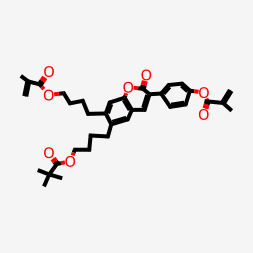 C=C(C)C(=O)OCCCCc1cc2oc(=O)c(-c3ccc(OC(=O)C(=C)C)cc3)cc2cc1CCCCOC(=O)C(C)(C)C